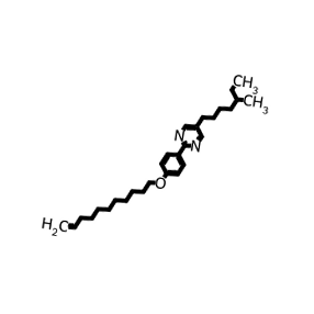 C=CCCCCCCCCCOc1ccc(-c2ncc(CCCCC(C)CC)cn2)cc1